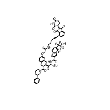 CC(C)(C)[C@H](NC(=O)c1cc2cc(C(F)(F)P(=O)(O)O)ccc2s1)C(=O)N1Cc2cc(OCC(=O)NCCCC#Cc3cccc4c3C(=O)N(C3CCC(=O)NC3=O)C4=O)ccc2C[C@H]1C(=O)N1CCC[C@H](c2ccccc2)C1